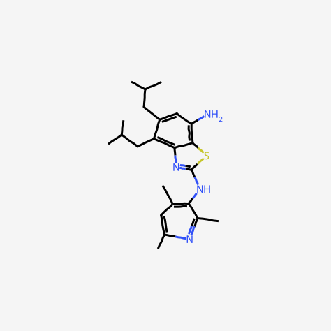 Cc1cc(C)c(Nc2nc3c(CC(C)C)c(CC(C)C)cc(N)c3s2)c(C)n1